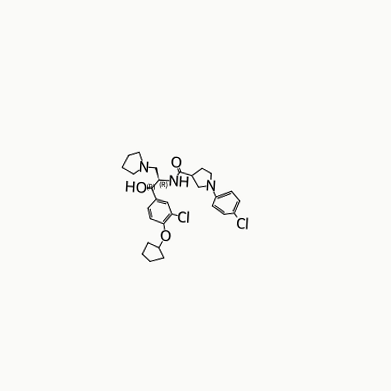 O=C(N[C@H](CN1CCCC1)[C@H](O)c1ccc(OC2CCCC2)c(Cl)c1)C1CCN(c2ccc(Cl)cc2)C1